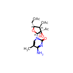 CC(=O)OC[C@H]1O[C@@H](n2cc(C)c(N)nc2=O)[C@@](O)(C(C)=O)[C@@H]1OC(C)=O